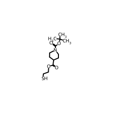 CC(C)(C)OC(=O)N1CCC(C(=O)OCCS)CC1